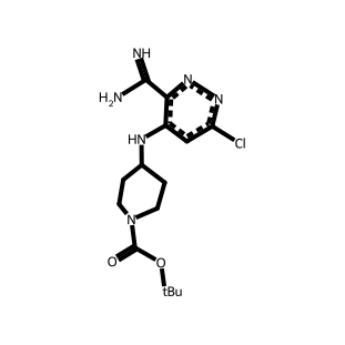 CC(C)(C)OC(=O)N1CCC(Nc2cc(Cl)nnc2C(=N)N)CC1